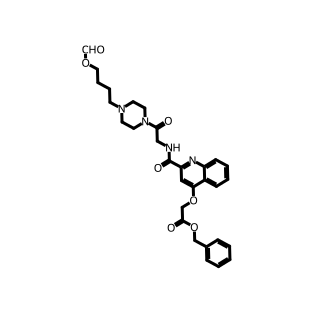 O=COCCCCN1CCN(C(=O)CNC(=O)c2cc(OCC(=O)OCc3ccccc3)c3ccccc3n2)CC1